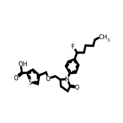 CCCCCC(F)c1ccc(N2C(=O)CCC2COCc2csc(C(=O)O)c2)cc1